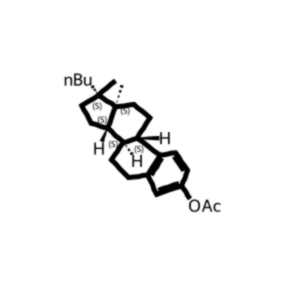 CCCC[C@@]1(C)CC[C@H]2[C@@H]3CCc4cc(OC(C)=O)ccc4[C@H]3CC[C@@]21C